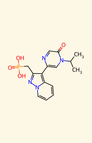 CC(C)n1cc(-c2c(CP(=O)(O)O)nn3ccccc23)ncc1=O